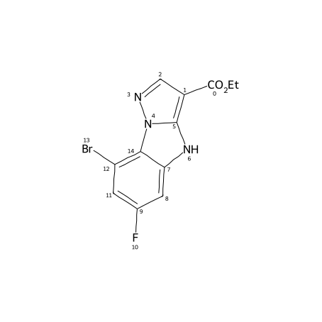 CCOC(=O)c1cnn2c1[nH]c1cc(F)cc(Br)c12